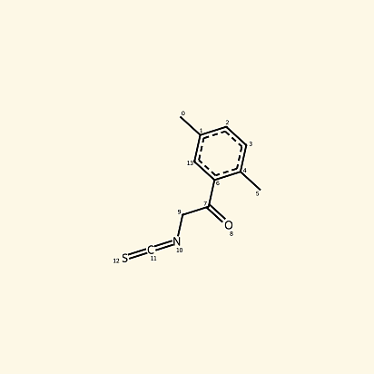 Cc1ccc(C)c(C(=O)CN=C=S)c1